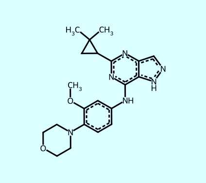 COc1cc(Nc2nc(C3CC3(C)C)nc3cn[nH]c23)ccc1N1CCOCC1